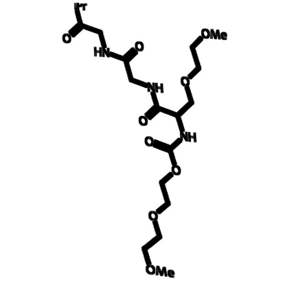 COCCOCCOC(=O)NC(COCCOC)C(=O)NCC(=O)NCC(=O)C(C)C